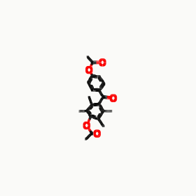 CC(=O)Oc1ccc(C(=O)c2c(C)c(C)c(OC(C)=O)c(C)c2C)cc1